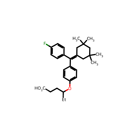 CCC(CCC(=O)O)Oc1ccc(C(=C2CC(C)(C)CC(C)(C)C2)c2ccc(F)cc2)cc1